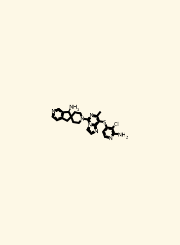 Cc1nc(N2CCC3(CC2)Cc2ccncc2[C@H]3N)n2ccnc2c1Sc1ccnc(N)c1Cl